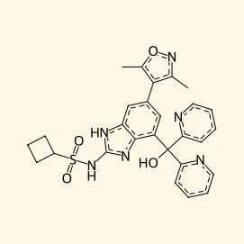 Cc1noc(C)c1-c1cc(C(O)(c2ccccn2)c2ccccn2)c2nc(NS(=O)(=O)C3CCC3)[nH]c2c1